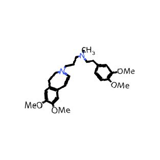 COc1ccc(CCN(C)CCCN2C=Cc3cc(OC)c(OC)cc3CC2)cc1OC